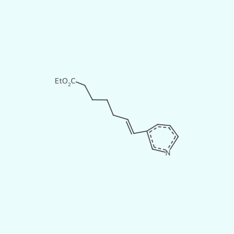 CCOC(=O)CCCC/C=C/c1cccnc1